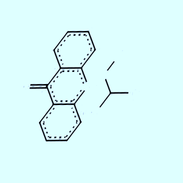 CCCCCCCCC(CCC)OCl.O=c1c2ccccc2sc2ccccc12